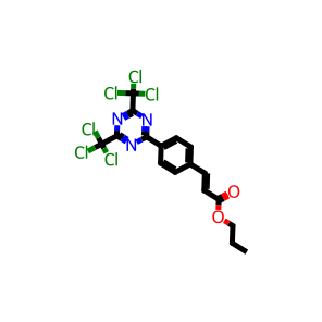 CCCOC(=O)/C=C/c1ccc(-c2nc(C(Cl)(Cl)Cl)nc(C(Cl)(Cl)Cl)n2)cc1